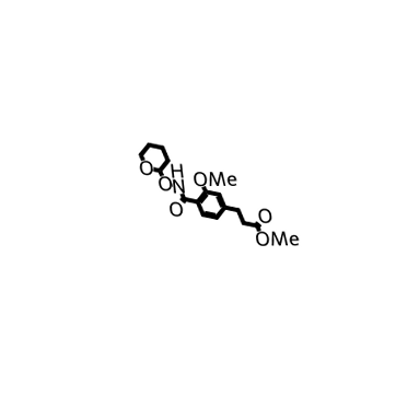 COC(=O)CCc1ccc(C(=O)NOC2CCCCO2)c(OC)c1